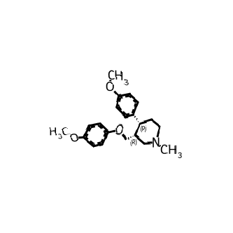 COc1ccc(OC[C@H]2CN(C)CC[C@H]2c2ccc(OC)cc2)cc1